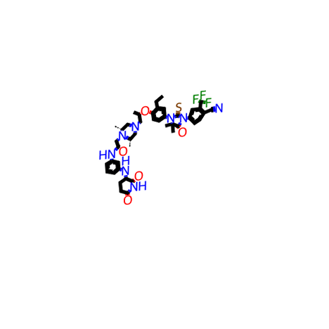 CCc1cc(N2C(=S)N(c3ccc(C#N)c(C(F)(F)F)c3)C(=O)C2(C)C)ccc1OC(C)CN1C[C@@H](C)N(CC(=O)Nc2cccc(NC3CCC(=O)NC3=O)c2)[C@@H](C)C1